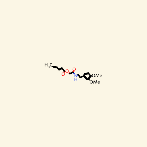 CC=CC=CC(=O)OCC(=O)NCCc1ccc(OC)c(OC)c1